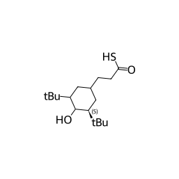 CC(C)(C)C1CC(CCC(=O)S)C[C@@H](C(C)(C)C)C1O